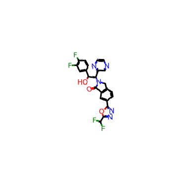 O=C1c2cc(-c3nnc(C(F)F)o3)ccc2CN1C(c1cnccn1)C(O)c1ccc(F)c(F)c1